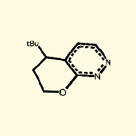 CC(C)(C)C1CCOc2nnccc21